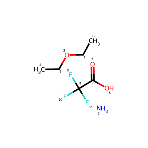 CCOCC.N.O=C(O)C(F)(F)F